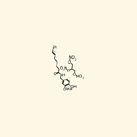 COc1cc(CNC(=O)CCCC/C=C/C(C)C)ccc1O.O=[N+]([O-])OCC(CO[N+](=O)[O-])O[N+](=O)[O-]